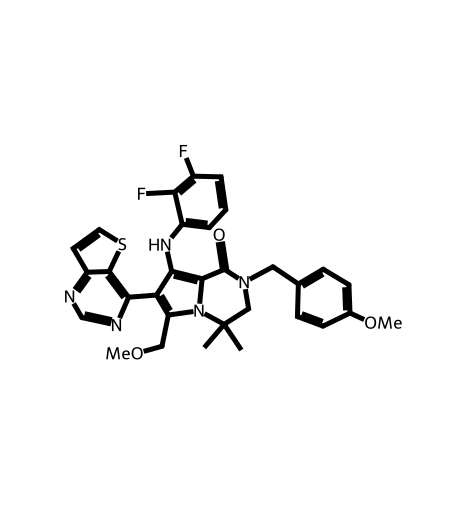 COCc1c(-c2ncnc3ccsc23)c(Nc2cccc(F)c2F)c2n1C(C)(C)CN(Cc1ccc(OC)cc1)C2=O